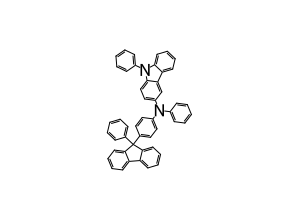 c1ccc(N(c2ccc(C3(c4ccccc4)c4ccccc4-c4ccccc43)cc2)c2ccc3c(c2)c2ccccc2n3-c2ccccc2)cc1